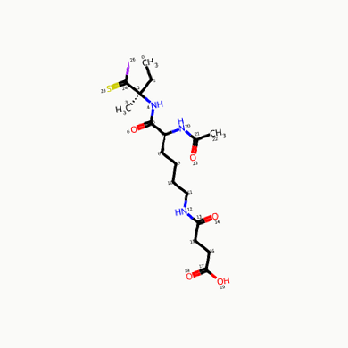 CC[C@@](C)(NC(=O)[C@H](CCCCNC(=O)CCC(=O)O)NC(C)=O)C(=S)I